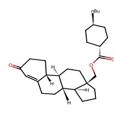 CCCC[C@H]1CC[C@H](C(=O)OC[C@@]23CCC[C@H]2[C@@H]2CCC4=CC(=O)CC[C@@H]4[C@H]2CC3)CC1